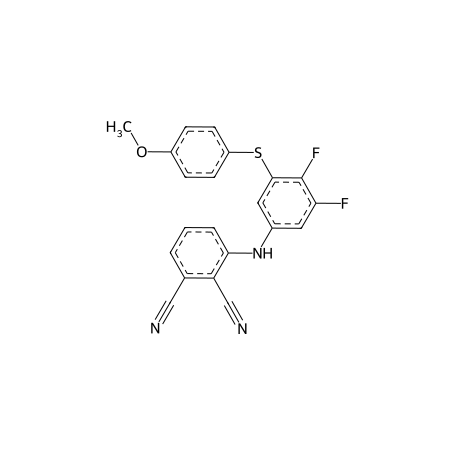 COc1ccc(Sc2cc(Nc3cccc(C#N)c3C#N)cc(F)c2F)cc1